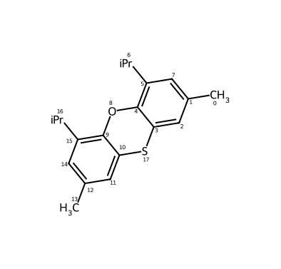 Cc1cc2c(c(C(C)C)c1)Oc1c(cc(C)cc1C(C)C)S2